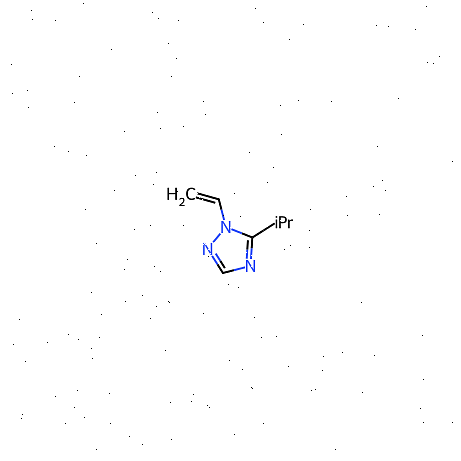 C=Cn1ncnc1C(C)C